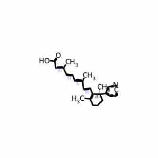 CC1=C(/C=C/C(C)=C/C=C/C(C)=C/C(=O)O)[C@@](C)(c2cccnc2)CCC1